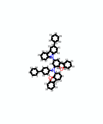 c1ccc(-c2ccc(N(c3cccc4c3oc3ccccc34)c3cc(-n4c5ccccc5c5cc(-c6ccccc6)ccc54)cc4c3oc3ccccc34)cc2)cc1